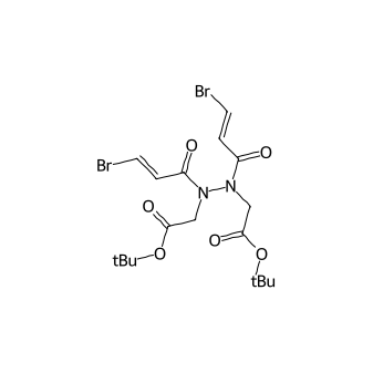 CC(C)(C)OC(=O)CN(C(=O)/C=C/Br)N(CC(=O)OC(C)(C)C)C(=O)/C=C/Br